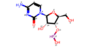 Nc1ccn([C@H]2O[C@@H](CO)[C@H](OPO)[C@@H]2O)c(=O)n1